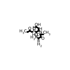 BC(N)C(=O)C(C)(CC)NC(CC(=O)O)C(=O)NCC(=O)CC